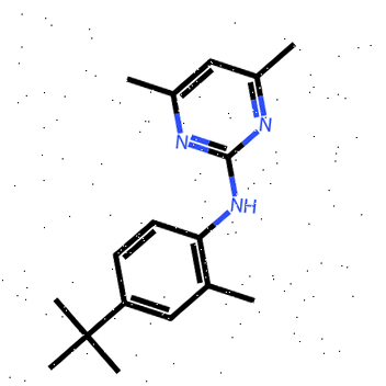 Cc1cc(C)nc(Nc2ccc(C(C)(C)C)cc2C)n1